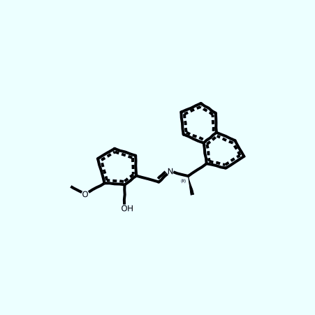 COc1cccc(C=N[C@H](C)c2cccc3ccccc23)c1O